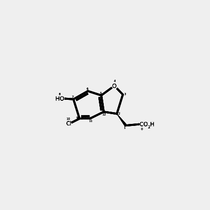 O=C(O)C[C@@H]1COc2cc(O)c(Cl)cc21